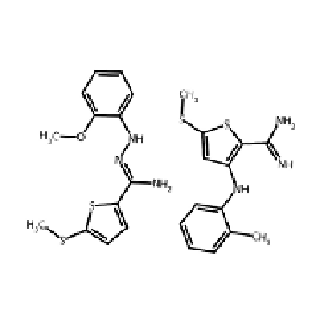 COc1ccccc1NN=C(N)c1ccc(SC)s1.CSc1cc(Nc2ccccc2C)c(C(=N)N)s1